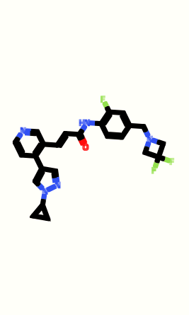 O=C(C=Cc1cnccc1-c1cnn(C2CC2)c1)Nc1ccc(CN2CC(F)(F)C2)cc1F